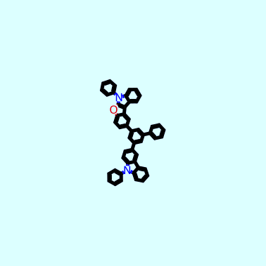 c1ccc(-c2cc(-c3ccc4oc5c(c4c3)c3ccccc3n5-c3ccccc3)cc(-c3ccc4c(c3)c3ccccc3n4-c3ccccc3)c2)cc1